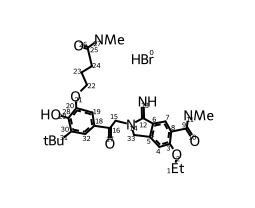 Br.CCOc1cc2c(cc1C(=O)NC)C(=N)N(CC(=O)c1cc(OCCCC(=O)NC)c(O)c(C(C)(C)C)c1)C2